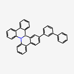 c1ccc(-c2cccc(-c3ccc4c(c3)B3c5ccccc5-c5ccccc5N3c3ccccc3-4)c2)cc1